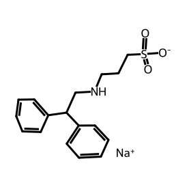 O=S(=O)([O-])CCCNCC(c1ccccc1)c1ccccc1.[Na+]